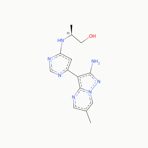 Cc1cnc2c(-c3cc(N[C@@H](C)CO)ncn3)c(N)nn2c1